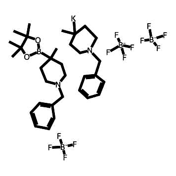 CC1(B2OC(C)(C)C(C)(C)O2)CCN(Cc2ccccc2)CC1.C[C]1([K])CCN(Cc2ccccc2)CC1.F[B-](F)(F)F.F[B-](F)(F)F.F[B-](F)(F)F